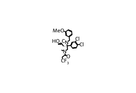 C=CC[C@@](CN(C)C(=O)CC(F)(F)F)(c1ccc(Cl)c(Cl)c1)N(Cc1cccc(OC)c1)C(=O)O